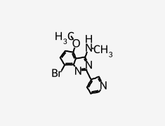 CNc1nc(-c2cccnc2)nc2c(Br)ccc(OC)c12